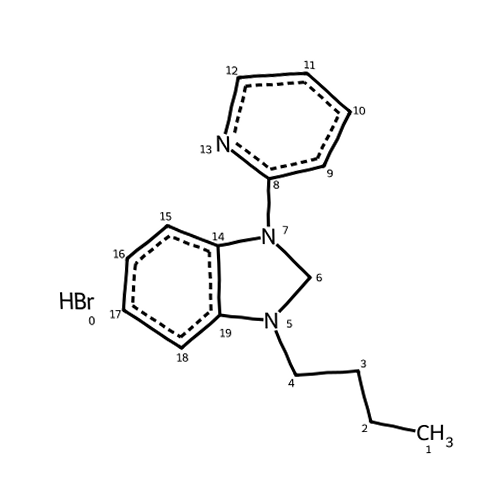 Br.CCCCN1CN(c2ccccn2)c2ccccc21